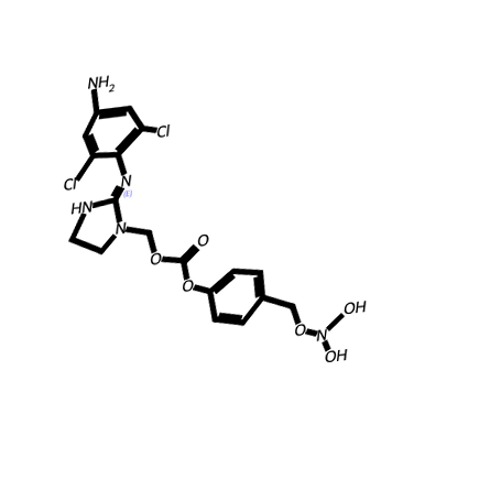 Nc1cc(Cl)c(/N=C2\NCCN2COC(=O)Oc2ccc(CON(O)O)cc2)c(Cl)c1